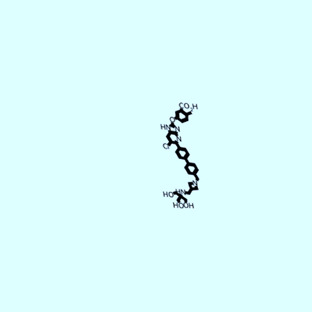 Cc1ccc(Oc2nc3nc(-c4ccc(-c5ccc(CN6CC(CNC(CO)(CO)CO)C6)cc5)cc4)c(Cl)cc3[nH]2)cc1C(=O)O